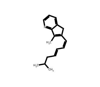 CC1=C(/C=C\C=C\CC(C)C)Cc2cccnc21